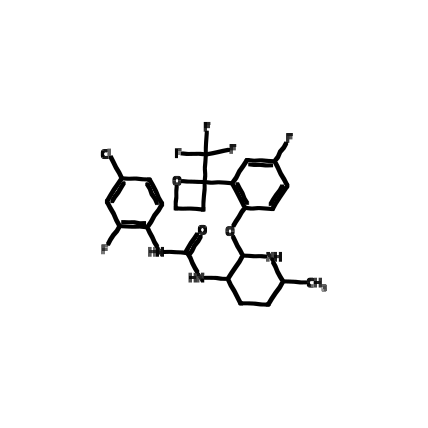 CC1CCC(NC(=O)Nc2ccc(Cl)cc2F)C(Oc2ccc(F)cc2C2(C(F)(F)F)CCO2)N1